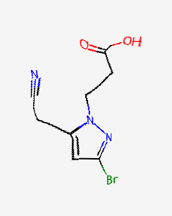 N#CCc1cc(Br)nn1CCC(=O)O